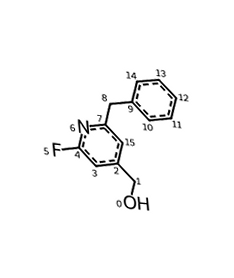 OCc1cc(F)nc(Cc2ccccc2)c1